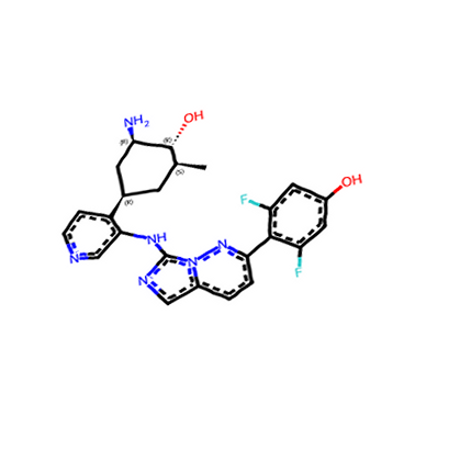 C[C@H]1C[C@@H](c2ccncc2Nc2ncc3ccc(-c4c(F)cc(O)cc4F)nn23)C[C@@H](N)[C@@H]1O